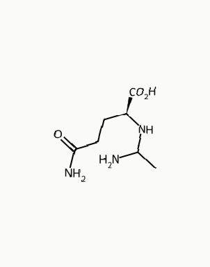 CC(N)N[C@@H](CCC(N)=O)C(=O)O